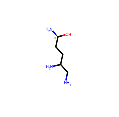 NCC(N)CC[C@@H](N)O